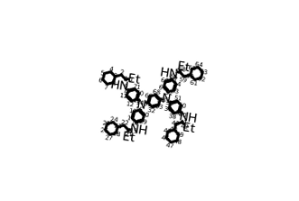 CCC(CC1CCCCC1)Nc1ccc(N(c2ccc(NC(CC)CC3CCCCC3)cc2)c2ccc(N(c3ccc(NC(CC)CC4CCCCC4)cc3)c3ccc(NC(CC)CC4CCCCC4)cc3)cc2)cc1